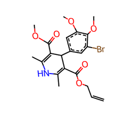 C=CCOC(=O)C1=C(C)NC(C)=C(C(=O)OC)C1c1cc(Br)c(OC)c(OC)c1